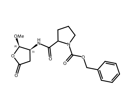 CO[C@@H]1OC(=O)C[C@@H]1NC(=O)C1CCCN1C(=O)OCc1ccccc1